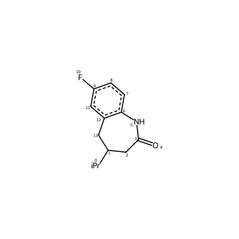 CC(C)C1CC(=O)Nc2ccc(F)cc2C1